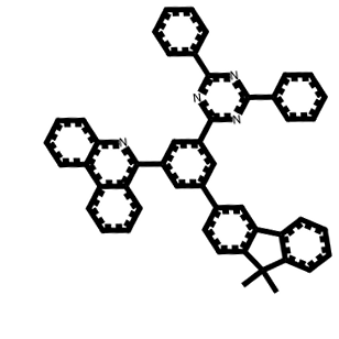 CC1(C)c2ccccc2-c2cc(-c3cc(-c4nc(-c5ccccc5)nc(-c5ccccc5)n4)cc(-c4nc5ccccc5c5ccccc45)c3)ccc21